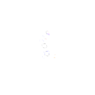 CC(C)(c1cc(N)nc(-c2ccc(NC(=O)Nc3ccon3)cc2)n1)S(C)(=O)=O